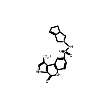 O=C(O)c1c[nH]c2c(=O)[nH]c3ccc(S(=O)(=O)NN4CC5=CCCC5C4)cc3c12